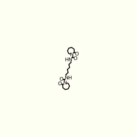 O=C1CCCCCN1C(=O)NCCCCCCNC(=O)N1CCCCCC1=O